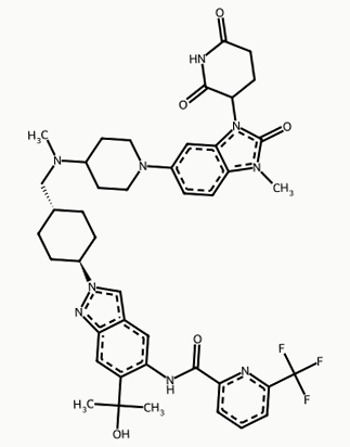 CN(C[C@H]1CC[C@H](n2cc3cc(NC(=O)c4cccc(C(F)(F)F)n4)c(C(C)(C)O)cc3n2)CC1)C1CCN(c2ccc3c(c2)n(C2CCC(=O)NC2=O)c(=O)n3C)CC1